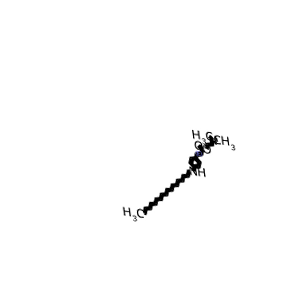 CCCCCCCCCCCCCCCCCCCNc1ccc(/C=C/C(=O)OCCN(C)C)cc1